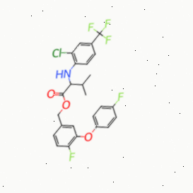 CC(C)C(Nc1ccc(C(F)(F)F)cc1Cl)C(=O)OCc1ccc(F)c(Oc2ccc(F)cc2)c1